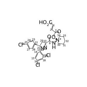 O=C(O)C=CC(=O)O[N+]1(NC(=O)C2=NN(c3ccc(Cl)cc3Cl)[C@@H](c3ccc(Cl)cc3)C2)CCCCC1